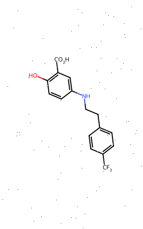 O=C(O)c1cc(NCCc2ccc(C(F)(F)F)cc2)ccc1O